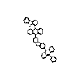 c1ccc(-c2c3ccccc3c(-c3ccc4c(c3)sc3ccc(-c5c6ccccc6c(-c6cccc7c6oc6ccccc67)c6ccccc56)cc34)c3ccccc23)cc1